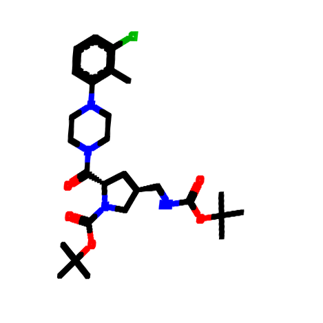 Cc1c(Cl)cccc1N1CCN(C(=O)[C@@H]2C[C@@H](CNC(=O)OC(C)(C)C)CN2C(=O)OC(C)(C)C)CC1